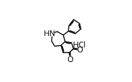 Cl.O=C1C=C2CCNCC(c3ccccc3)C2=CC1=O